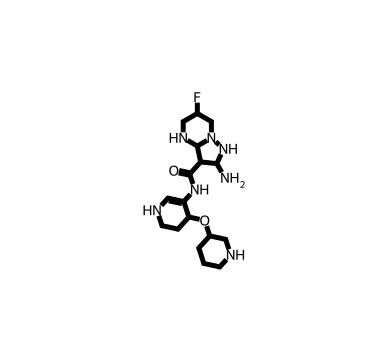 NC1NN2CC(F)CNC2C1C(=O)NC1=CNCCC1OC1CCCNC1